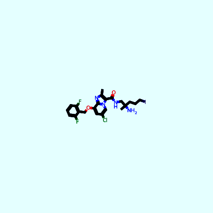 Cc1nc2c(OCc3c(F)cccc3F)cc(Cl)cn2c1C(=O)NCC(C)(N)CCCI